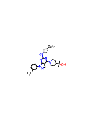 CO[C@H]1C[C@@H](Nc2nc(N3CCC(C(C)(C)O)CC3)c3cnn(-c4cccc(C(F)(F)F)c4)c3n2)C1